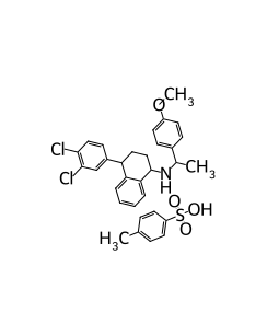 COc1ccc(C(C)NC2CCC(c3ccc(Cl)c(Cl)c3)c3ccccc32)cc1.Cc1ccc(S(=O)(=O)O)cc1